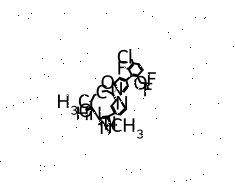 C[C@@H]1CCC[C@H](n2ccc(-c3c(OC(F)F)ccc(Cl)c3F)cc2=O)c2cc(ccn2)-c2c(cnn2C)NC1=O